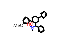 COc1cccc(C2(O)CCC(c3ccccc3)CC2C(c2ccccc2)N(C)C)c1